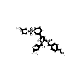 Cc1cc(C(=O)n2nc(C3CCCN(S(=O)(=O)N4CCC(O)C4)C3)cc2N(C)Cc2ccc(CN)cc2)co1